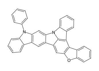 c1ccc(-n2c3ccccc3c3cc4c5cc6oc7ccccc7c6c6c7ccccc7n(c4cc32)c56)cc1